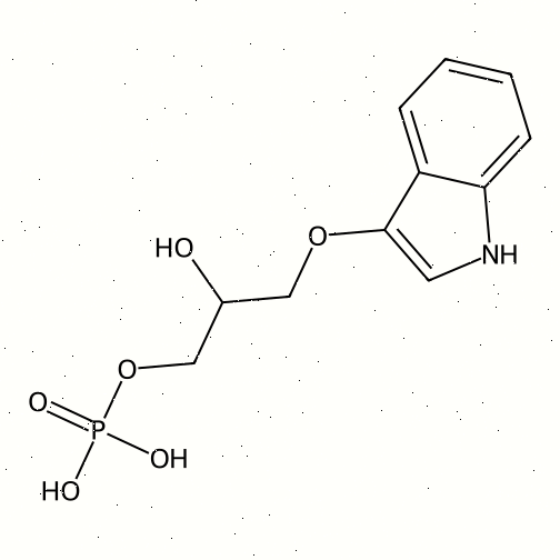 O=P(O)(O)OCC(O)COc1c[nH]c2ccccc12